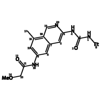 CCNC(=O)Nc1cc2cc(NC(=O)COC)cc(C)c2cn1